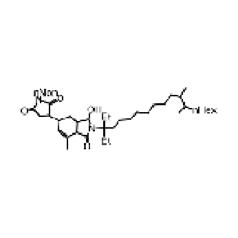 CCCCCCCCCN1C(=O)CC(C2C=C(C)C3C(=O)N(C(CC)(CC)CCCCCCCCC(C)C(C)CCCCCC)C(O)C3C2)C1=O